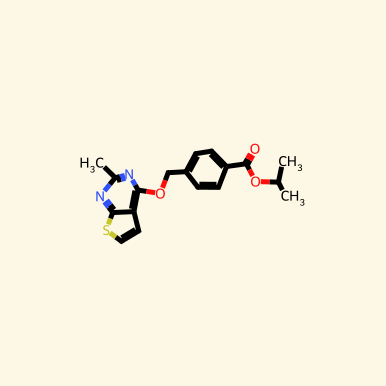 Cc1nc(OCc2ccc(C(=O)OC(C)C)cc2)c2ccsc2n1